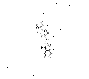 C=CC(OC)C(O)C(C)C=C(C)COC(=O)Nc1ccccc1